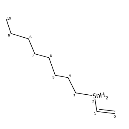 C=[CH][SnH2][CH2]CCCCCCC